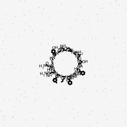 CCCC[C@H]1C(=O)N(C)[C@@H](COc2cccc(C)c2)C(=O)N[C@@H](CCCNC(=N)N)C(=O)N[C@H](C(=O)NCC(N)=O)CSCC(=O)N[C@@H](Cc2ccc(O)cc2)C(=O)N(C)[C@@H](C)C(=O)NC(CC(N)=O)C(=O)N2CCC[C@H]2C(=O)N[C@@H](CN)C(=O)N[C@@H](CC(C)C)C(=O)N2C[C@H](O)C[C@H]2C(=O)N[C@@H](Cc2c[nH]c3ccccc23)C(=O)N[C@@H](CO)C(=O)N[C@@H](Cc2csc3ccccc23)C(=O)N1C